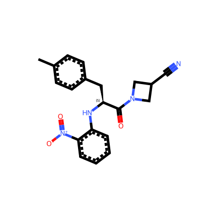 Cc1ccc(C[C@H](Nc2ccccc2[N+](=O)[O-])C(=O)N2CC(C#N)C2)cc1